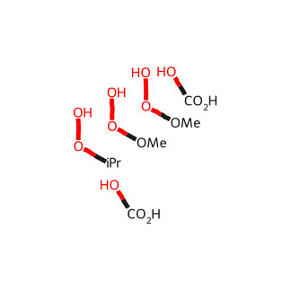 CC(C)OO.COOO.COOO.O=C(O)O.O=C(O)O